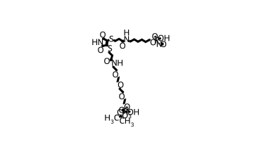 CC(C)(C)OP(=O)(O)OCCOCCOCCOCCNC(=O)CCSC1=C(SCCC(=O)NCCCCCCOP(=O)(O)N=O)C(=O)NC1=O